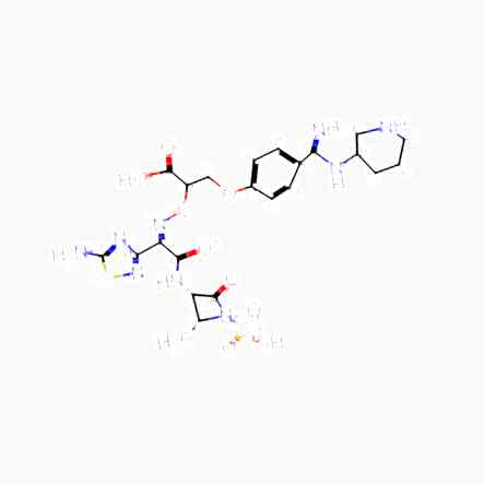 C[C@H]1[C@H](NC(=O)C(=NOC(COc2ccc(C(=N)NC3CCCNC3)cc2)C(=O)O)c2nsc(N)n2)C(=O)N1S(=O)(=O)O